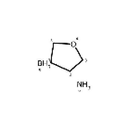 B.C1CCOC1.N